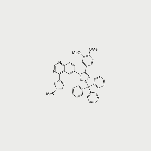 COc1ccc(-c2nn(C(c3ccccc3)(c3ccccc3)c3ccccc3)cc2-c2ccc3ncnc(-c4ccc(SC)s4)c3c2)cc1OC